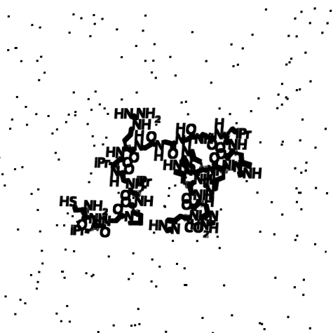 CC(C)C[C@H](NC(=O)CNC(=O)CNC(=O)CNC(=O)CNC(=O)[C@H](CCCNC(=N)N)NC(=O)[C@@H](NC(=O)CNC(=O)[C@H](CC(C)C)NC(=O)[C@@H]1CCCN1C(=O)CNC(=O)[C@H](CC(C)C)NC(=O)[C@@H](N)CS)C(C)C)C(=O)N[C@@H](Cc1c[nH]cn1)C(=O)N[C@@H](Cc1c[nH]cn1)C(=O)N[C@@H](Cc1c[nH]cn1)C(=O)N[C@@H](Cc1c[nH]cn1)C(=O)N[C@@H](Cc1c[nH]cn1)C(=O)N[C@@H](Cc1c[nH]cn1)C(=O)O